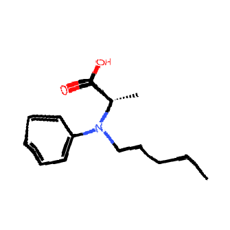 CCCCCN(c1ccccc1)[C@@H](C)C(=O)O